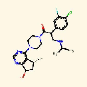 CC(C)NCC(C(=O)N1CCN(c2ncnc3c2[C@H](C)C[C@H]3O)CC1)c1ccc(Cl)c(F)c1